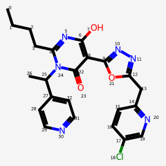 CCCCc1nc(O)c(-c2nnc(Cc3ccc(Cl)cn3)o2)c(=O)n1C(C)c1ccncc1